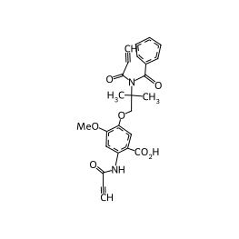 C#CC(=O)Nc1cc(OC)c(OCC(C)(C)N(C(=O)C#C)C(=O)c2ccccc2)cc1C(=O)O